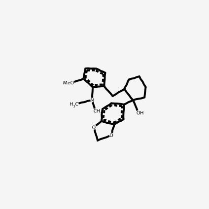 COc1cccc(CC2CCCCC2(O)c2ccc3c(c2)OCO3)c1N(C)C